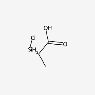 CCC(=O)O.[SiH3]Cl